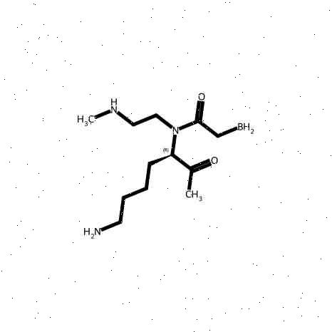 BCC(=O)N(CCNC)[C@H](CCCCN)C(C)=O